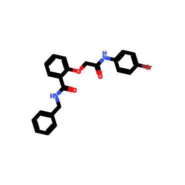 O=C(COc1ccccc1C(=O)NCc1ccccc1)Nc1ccc(Br)cc1